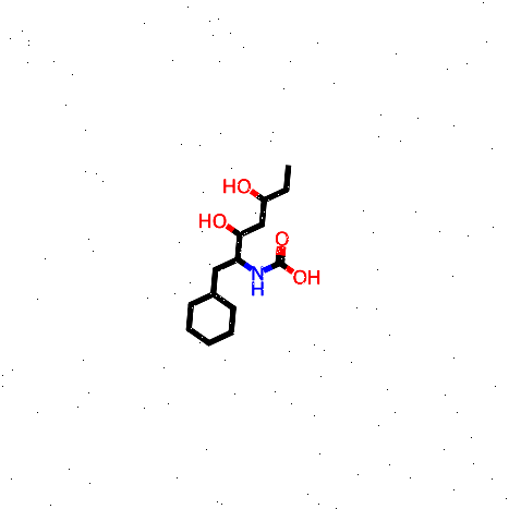 CCC(O)CC(O)C(CC1CCCCC1)NC(=O)O